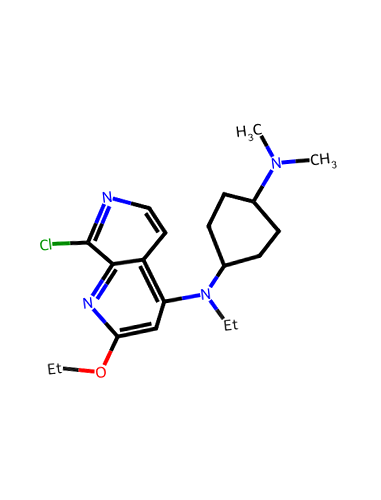 CCOc1cc(N(CC)C2CCC(N(C)C)CC2)c2ccnc(Cl)c2n1